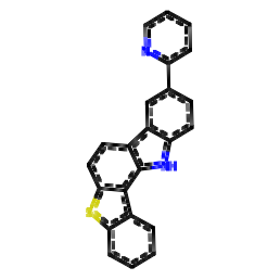 c1ccc(-c2ccc3[nH]c4c(ccc5sc6ccccc6c54)c3c2)nc1